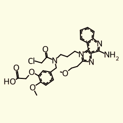 COCCc1nc2c(N)nc3ccccc3c2n1CCCN(Cc1ccc(OC)c(OCC(=O)O)c1)C(=O)CCl